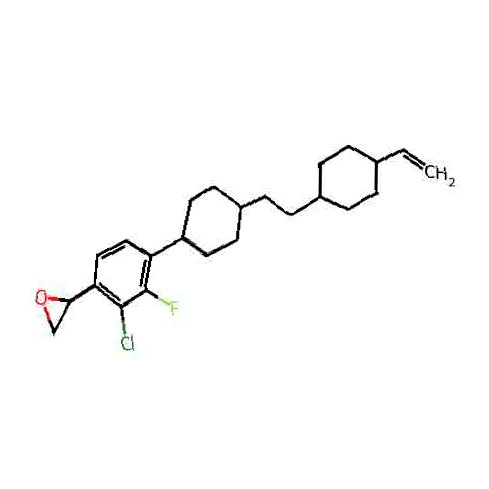 C=CC1CCC(CCC2CCC(c3ccc(C4CO4)c(Cl)c3F)CC2)CC1